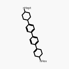 CCCCCCCC1CCC(c2ccc(-c3ccc(C4=CCC(CCCCCC)CC4)cc3)cc2)CC1